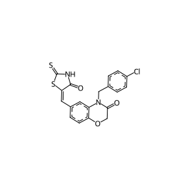 O=C1NC(=S)SC1=Cc1ccc2c(c1)N(Cc1ccc(Cl)cc1)C(=O)CO2